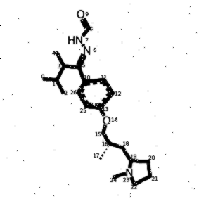 CC(C)C(C)/C(=N\NC=O)c1ccc(OC[C@@H](C)CC2CCCN2C)cc1